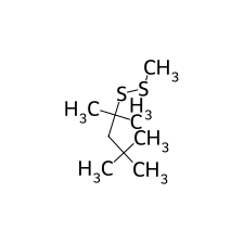 CSSC(C)(C)CC(C)(C)C